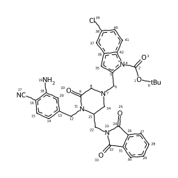 CC(C)(C)OC(=O)n1c(CN2CC(=O)N(Cc3ccc(C#N)c(N)c3)C(CN3C(=O)c4ccccc4C3=O)C2)cc2cc(Cl)ccc21